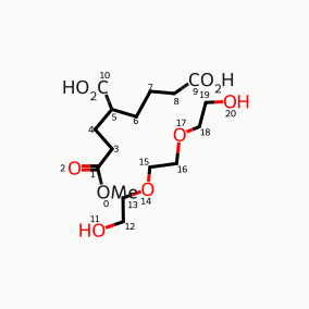 COC(=O)CCC(CCCC(=O)O)C(=O)O.OCCOCCOCCO